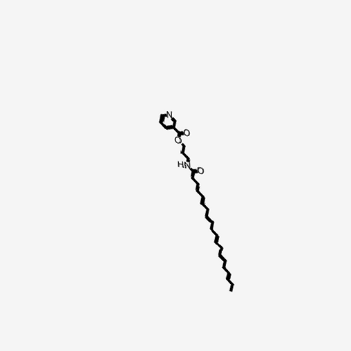 CCC=CCC=CCC=CCC=CCC=CCCCC(=O)NCCCOC(=O)c1cccnc1